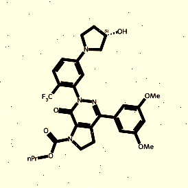 CCCOC(=O)N1CCc2c(-c3cc(OC)cc(OC)c3)nn(-c3cc(N4CC[C@H](O)C4)ccc3C(F)(F)F)c(=O)c21